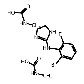 CNC(=O)O.CNC(=O)O.Fc1cccc(Br)c1NC1=NCCN1